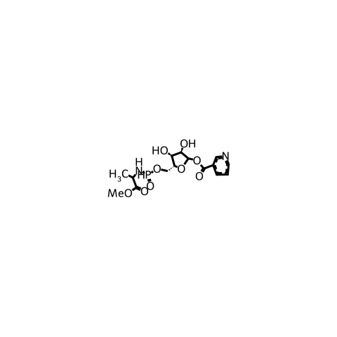 COC(=O)C(C)N[PH](=O)OC[C@H]1OC(OC(=O)c2cccnc2)[C@H](O)[C@@H]1O